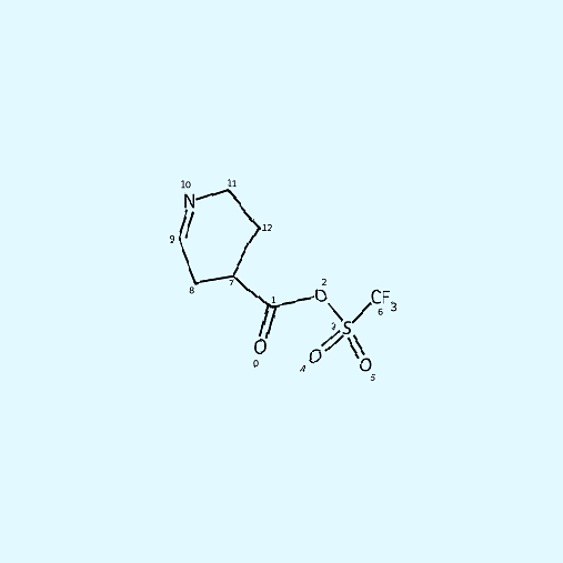 O=C(OS(=O)(=O)C(F)(F)F)C1CC=NCC1